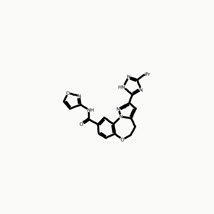 CC(C)c1n[nH]c(-c2cc3n(n2)-c2cc(C(=O)Nc4ccon4)ccc2OCC3)n1